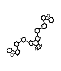 c1cc(-c2cccc(-c3cccc4oc5ccccc5c34)c2)cc(-c2ccc3c(c2)c2cc(-c4cccc(-c5cccc(-c6cccc7oc8ccccc8c67)c5)c4)ccc2c2nccnc32)c1